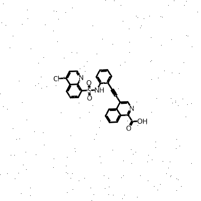 O=C(O)c1ncc(C#Cc2ccccc2NS(=O)(=O)c2cccc3c(Cl)ccnc23)c2ccccc12